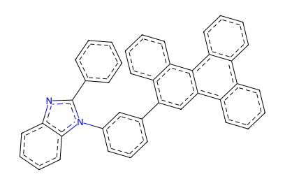 c1ccc(-c2nc3ccccc3n2-c2cccc(-c3cc4c5ccccc5c5ccccc5c4c4ccccc34)c2)cc1